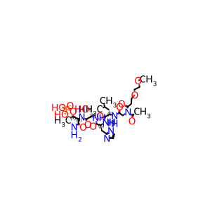 COCCOCCC(=O)N(CC(=O)N[C@@H](CC(C)C)C(=O)N[C@@H](Cc1ncc[nH]1)C(=O)N[C@@H](CO)C(=O)N[C@H](C(N)=O)[C@@H](C)OP(=O)(O)O)C(C)=O